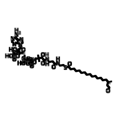 C[C@@H](CC=O)CCCCCCCCCCCCCCC(=O)SCCNC(=O)CCNC(=O)C(O)C(C)(C)COP(=O)(O)OP(=O)(O)OC[C@H]1O[C@@H](n2cnc3c(N)ncnc32)[C@H](O)[C@@H]1OP(=O)(O)O